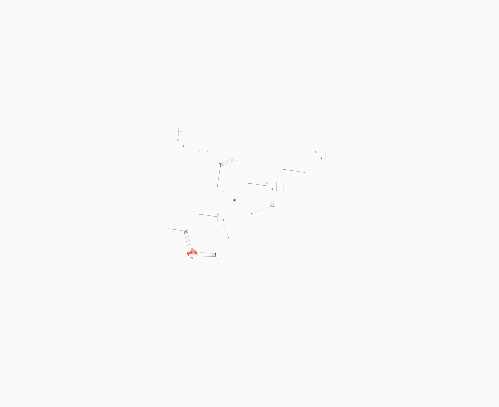 NCCNCC(CC(=O)[O-])(CC(=O)[O-])N(CC(=O)[O-])CC(=O)[O-].[Fe+3].[Na+]